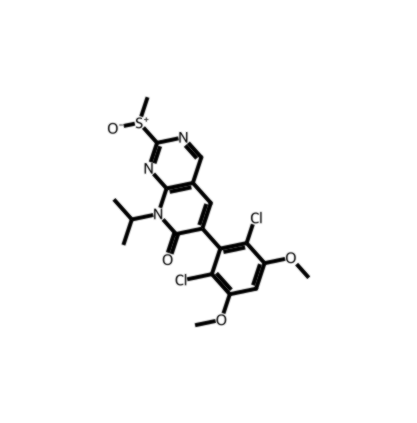 COc1cc(OC)c(Cl)c(-c2cc3cnc([S+](C)[O-])nc3n(C(C)C)c2=O)c1Cl